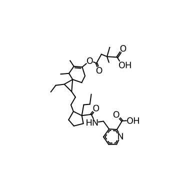 CCCC1(C(=O)NCc2cccnc2C(=O)O)CCCC1CCC1C(CC)C12CCC(OC(=O)CC(C)(C)C(=O)O)=C(C)C2C